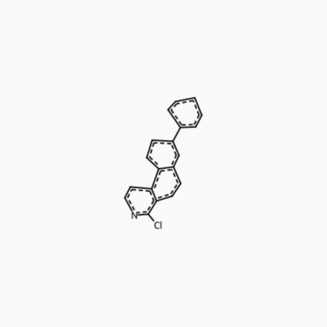 Clc1nccc2c1ccc1cc(-c3ccccc3)ccc12